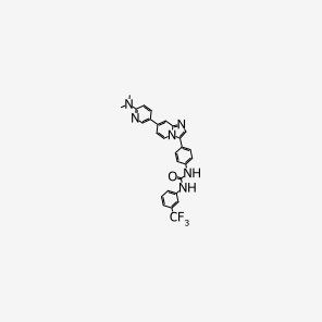 CN(C)c1ccc(-c2ccn3c(-c4ccc(NC(=O)Nc5cccc(C(F)(F)F)c5)cc4)cnc3c2)cn1